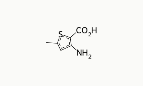 Cc1cc(N)c(C(=O)O)s1